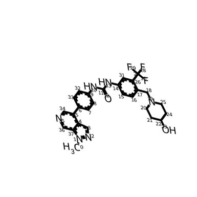 Cn1ncc2c(-c3ccc(NC(=O)Nc4ccc(CN5CCC(O)CC5)c(C(F)(F)F)c4)cc3)cncc21